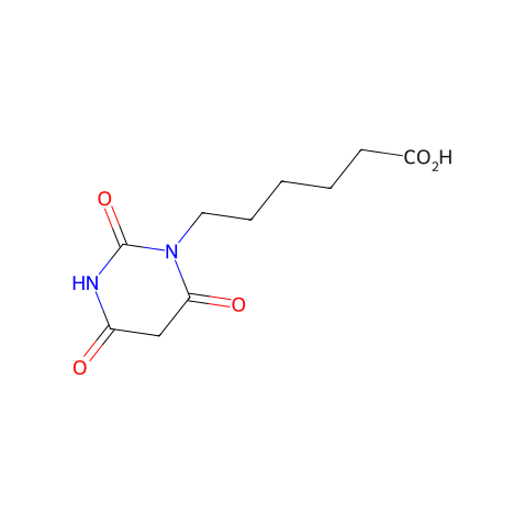 O=C(O)CCCCCN1C(=O)CC(=O)NC1=O